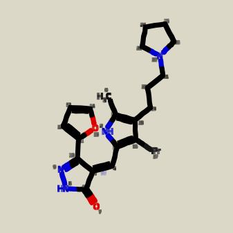 Cc1[nH]c(/C=C2/C(=O)NN=C2c2ccco2)c(C(C)C)c1CCCN1CCCC1